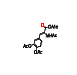 COC(=O)/C(=C/c1ccc(OC(C)=O)c(OC(C)=O)c1)NC(C)=O